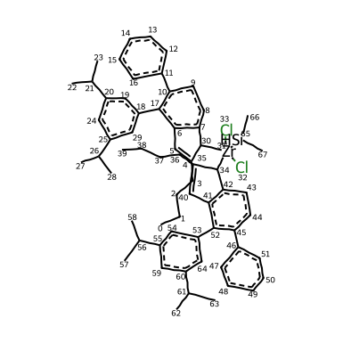 CCCCC1=Cc2c(ccc(-c3ccccc3)c2-c2cc(C(C)C)cc(C(C)C)c2)[CH]1[Zr]([Cl])([Cl])([CH]1C(CCCC)=Cc2c1ccc(-c1ccccc1)c2-c1cc(C(C)C)cc(C(C)C)c1)[SiH](C)C